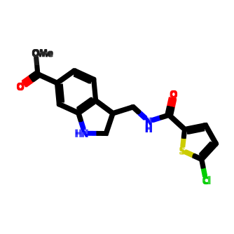 COC(=O)c1ccc2c(c1)NCC2CNC(=O)c1ccc(Cl)s1